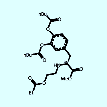 CCCCC(=O)Oc1ccc(C[C@H](NCCOC(=O)CC)C(=O)OC)cc1OC(=O)CCCC